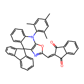 Cc1cc(C)c(N2c3ccccc3C3(c4ccccc4-c4ccccc43)c3nc(C=C4C(=O)c5ccccc5C4=O)oc32)c(C)c1